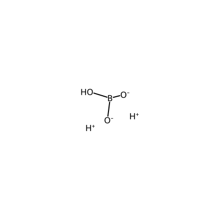 [H+].[H+].[O-]B([O-])O